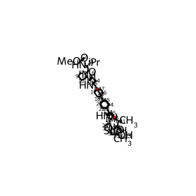 COC(=O)N[C@H](C(=O)N1CCC[C@H]1c1ncc(C23CCC(c4ccc(-c5cnc([C@@H]6CSC(CC(C)(C)O)N6C(=O)[C@@H](C)C(C)C)[nH]5)cc4)(CC2)CC3)[nH]1)C(C)C